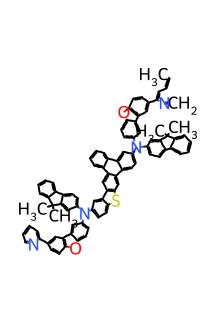 C=N/C(=C\C=C/C)c1ccc2oc3ccc(N(c4ccc5c(c4)C(C)(C)c4ccccc4-5)c4ccc5c(c4)c4ccccc4c4cc6c(cc54)sc4ccc(N(c5ccc7c(c5)C(C)(C)c5ccccc5-7)c5ccc7oc8ccc(-c9ccccn9)cc8c7c5)cc46)cc3c2c1